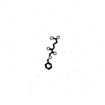 O=C(Cl)CCCC(=O)C(=O)COCc1ccccc1